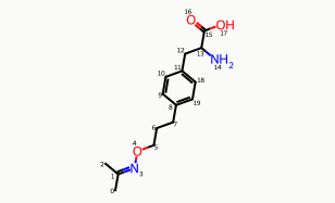 CC(C)=NOCCCc1ccc(CC(N)C(=O)O)cc1